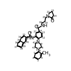 Cc1ccccc1N1CCN(c2ccc(C(=O)NCCCN3CCCC3=O)cc2NC(=O)c2ccc3ccccc3c2)CC1